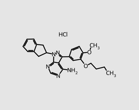 CCCCOc1cc(-c2nn(C3Cc4ccccc4C3)c3ncnc(N)c23)ccc1OC.Cl